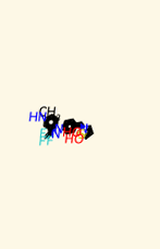 CNC1CCc2c(c(C(F)(F)F)nn2-c2ccc(CN3CCCS3(O)O)cc2)C1